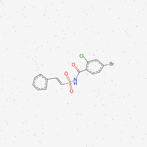 O=C(NS(=O)(=O)C=Cc1ccccc1)c1ccc(Br)cc1Cl